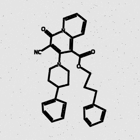 N#Cc1c(N2CCC(c3ccccc3)CC2)c(C(=O)OCCCc2ccccc2)c2ccccn2c1=O